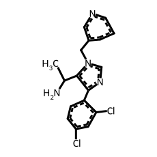 CC(N)c1c(-c2ccc(Cl)cc2Cl)ncn1Cc1cccnc1